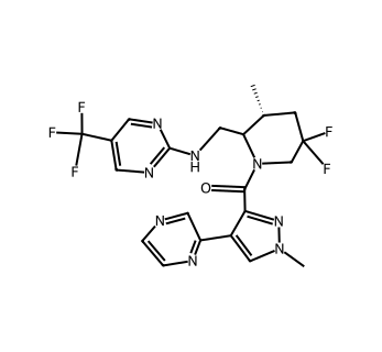 C[C@@H]1CC(F)(F)CN(C(=O)c2nn(C)cc2-c2cnccn2)C1CNc1ncc(C(F)(F)F)cn1